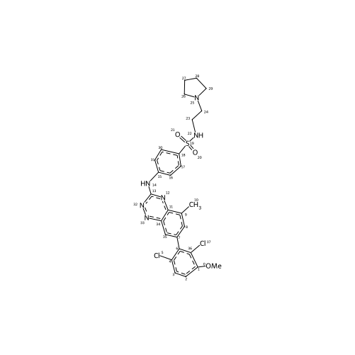 COc1ccc(Cl)c(-c2cc(C)c3nc(Nc4ccc(S(=O)(=O)NCCN5CCCC5)cc4)nnc3c2)c1Cl